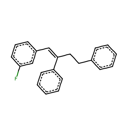 Fc1cccc(C=C(CCc2ccccc2)c2ccccc2)c1